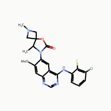 COc1cc2ncnc(Nc3cccc(Cl)c3F)c2cc1N1C(=O)OC2(CN(C)C2)C1C